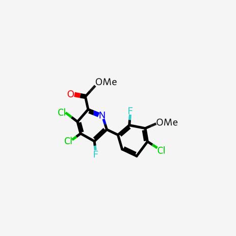 COC(=O)c1nc(-c2ccc(Cl)c(OC)c2F)c(F)c(Cl)c1Cl